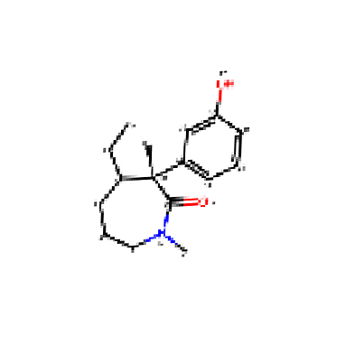 CCC1CCCN(C)C(=O)[C@@]1(C)c1cccc(O)c1